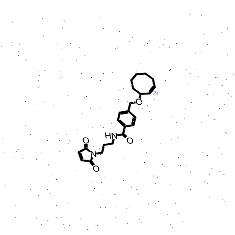 O=C(NCCCN1C(=O)C=CC1=O)c1ccc(COC2/C=C\CCCCC2)cc1